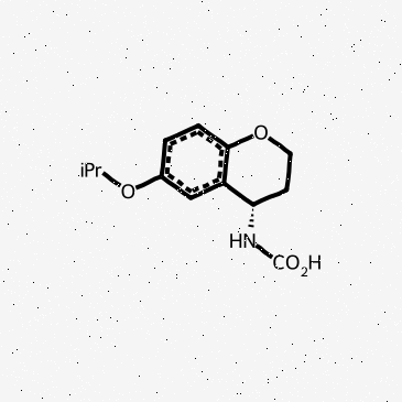 CC(C)Oc1ccc2c(c1)[C@@H](NC(=O)O)CCO2